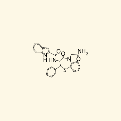 NC(=O)CN1C(=O)C(NC(=O)c2cc3ccccc3[nH]2)C(c2ccccc2)Sc2ccccc21